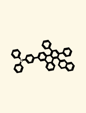 C1=C(c2c(-c3ccccc3)cc(-c3ccccc3)c3c4ccc(-c5ccc(N(c6ccccc6)c6ccccc6)cc5)cc4c4ccccc4c23)CCc2ccccc21